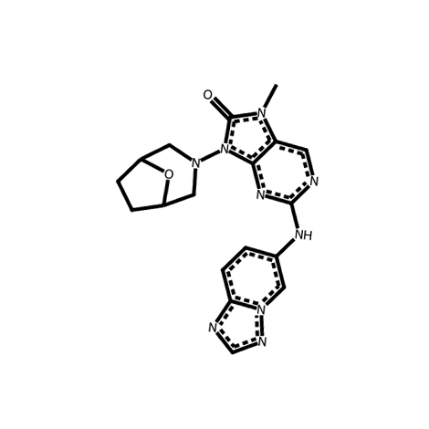 Cn1c(=O)n(N2CC3CCC(C2)O3)c2nc(Nc3ccc4ncnn4c3)ncc21